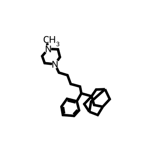 CN1CCN(CCCCC(c2ccccc2)C23CC4CC(CC(C4)C2)C3)CC1